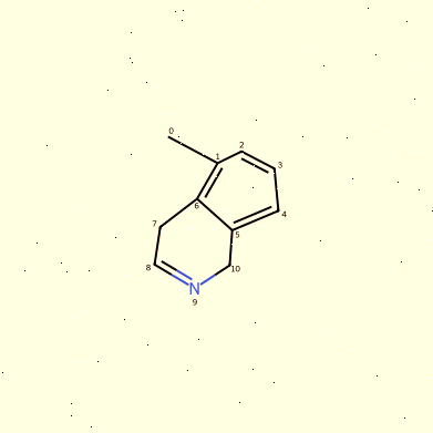 Cc1cccc2c1CC=NC2